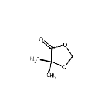 CC1(C)OCOC1=O